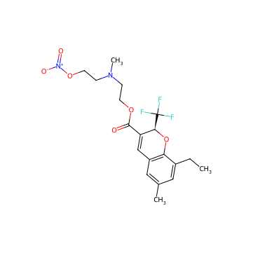 CCc1cc(C)cc2c1O[C@H](C(F)(F)F)C(C(=O)OCCN(C)CCO[N+](=O)[O-])=C2